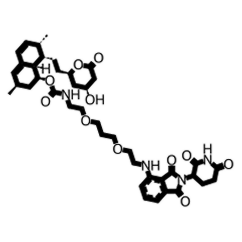 C[C@H]1C=C2C=C[C@H](C)[C@H](CC[C@@H]3C[C@@H](O)CC(=O)O3)[C@H]2[C@@H](OC(=O)NCCOCCCOCCNc2cccc3c2C(=O)N(C2CCC(=O)NC2=O)C3=O)C1